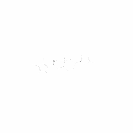 COC1(OC)CN(c2ncc(C(=O)O)s2)CCC1NC(=O)c1[nH]c(C)c(Cl)c1Cl